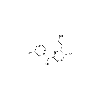 N#Cc1ccc(C(O)c2cccc(Cl)n2)nc1CCO